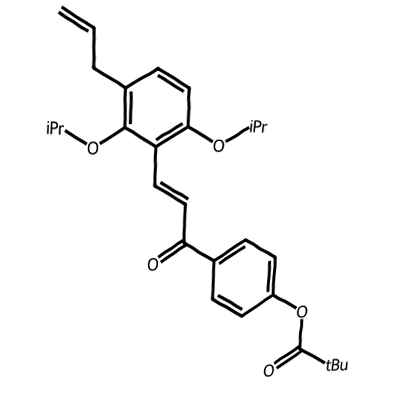 C=CCc1ccc(OC(C)C)c(/C=C/C(=O)c2ccc(OC(=O)C(C)(C)C)cc2)c1OC(C)C